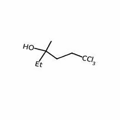 CCC(C)(O)CCC(Cl)(Cl)Cl